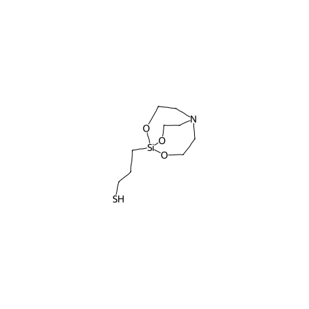 SCCC[Si]12OCCN(CCO1)CCO2